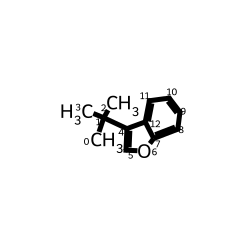 CC(C)(C)c1coc2ccccc12